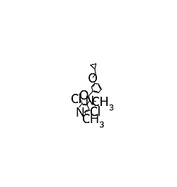 Cc1ncc(Cl)c(N(C)C(=O)c2cccc(OCC3CC3)c2)c1Cl